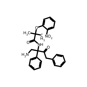 CC(C)(Oc1ccccc1[N+](=O)[O-])C(=O)NC(CN)(C(=O)Cc1ccccc1)c1ccccc1